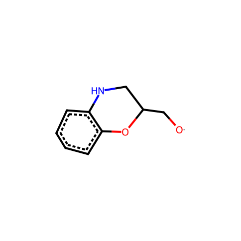 [O]CC1CNc2ccccc2O1